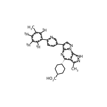 [2H]c1c([2H])c(C)c([2H])c(-c2ccc(-c3cnn4c3nc([C@H]3CC[C@H](C(=O)O)CC3)c3c(C)n[nH]c34)cn2)c1[2H]